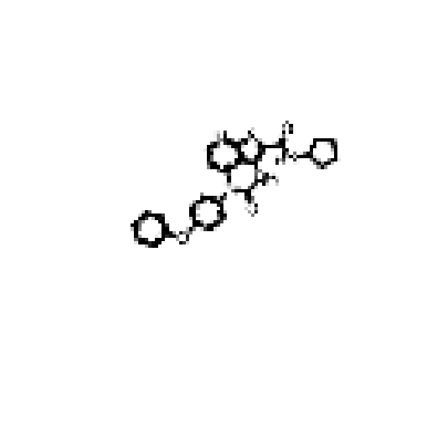 O=C(NC1CCCC1)c1sc2nccc3c2c1NC(=O)N3c1ccc(Oc2ccccc2)cc1